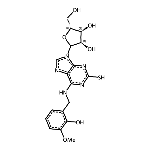 COc1cccc(CNc2nc(S)nc3c2ncn3C2O[C@H](CO)[C@@H](O)[C@H]2O)c1O